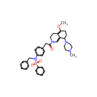 COC1=C2CCN(C(=O)Cc3ccc(N(Cc4ccccc4)S(=O)(=O)c4ccccc4)cc3)C=C2C(N2CCN(C)CC2)CC1